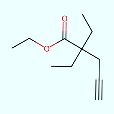 C#CCC(CC)(CC)C(=O)OCC